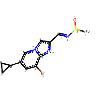 CC(C)(C)[S+]([O-])/N=C/c1cn2cc(C3CC3)cc(Br)c2n1